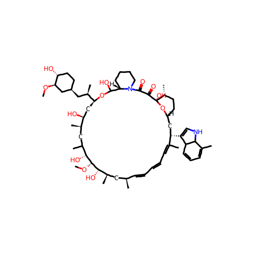 CO[C@H]1[C@@H](O)[C@H](C)C[C@H](C)/C=C/C=C/C=C(\C)[C@@H](C2=CNC3C(C)=CC=CC23)C[C@@H]2CC[C@@H](C)[C@@](O)(O2)C(=O)C(=O)N2CCCC[C@H]2C(O)O[C@H]([C@H](C)C[C@@H]2CC[C@@H](O)[C@H](OC)C2)C[C@H](O)[C@H](C)CC(C)[C@H]1O